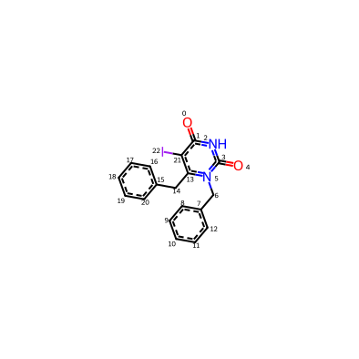 O=c1[nH]c(=O)n(Cc2ccccc2)c(Cc2ccccc2)c1I